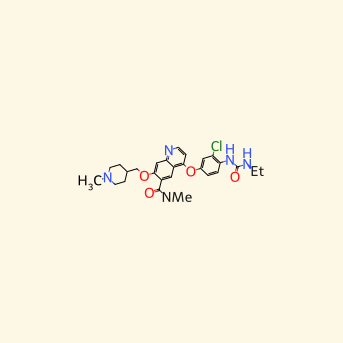 CCNC(=O)Nc1ccc(Oc2ccnc3cc(OCC4CCN(C)CC4)c(C(=O)NC)cc23)cc1Cl